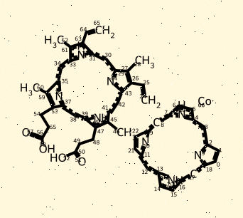 C1=Cc2cc3ccc(cc4nc(cc5ccc(cc1n2)[nH]5)C=C4)[nH]3.C=CC1=C(C)c2cc3[nH]c(cc4nc(cc5[nH]c(cc1n2)c(C)c5CCC(=O)O)C(CCC(=O)O)=C4C)c(C)c3C=C.[Co]